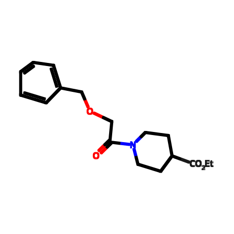 CCOC(=O)C1CCN(C(=O)COCc2ccccc2)CC1